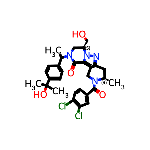 CC(c1ccc(C(C)(C)O)cc1)N1C[C@@H](CO)n2nc3c(c2C1=O)CN(C(=O)c1ccc(Cl)c(Cl)c1)[C@H](C)C3